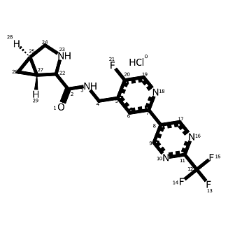 Cl.O=C(NCc1cc(-c2cnc(C(F)(F)F)nc2)ncc1F)C1NC[C@@H]2C[C@@H]12